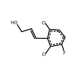 OCC=Cc1c(Cl)ccc(F)c1Cl